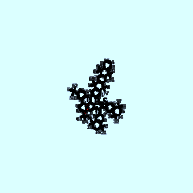 Cc1cc2c3c(c1)N(c1ccc4c(c1)C(C)(C)CCC4(C)C)c1c(sc4cc5c(cc14)C(C)(C)CCC5(C)C)B3c1cc3c(cc1N2c1ccc(C(C)(C)C)cc1-c1ccc(C(C)(C)C)cc1)C(C)(C)c1cc2c(cc1C3(C)C)C(C)(C)c1ccccc1C2(C)C